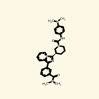 CN(C)C(=O)c1cccc(-c2nc([C@@H]3CCCN(C(=O)Nc4ccc(N(C)C)cc4)C3)n3ccccc23)c1